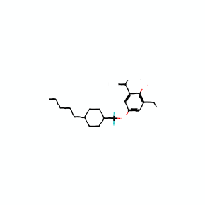 CCCCCC1CCC(C(F)(F)Oc2cc(CC)c(O)c(C(C)C)c2)CC1